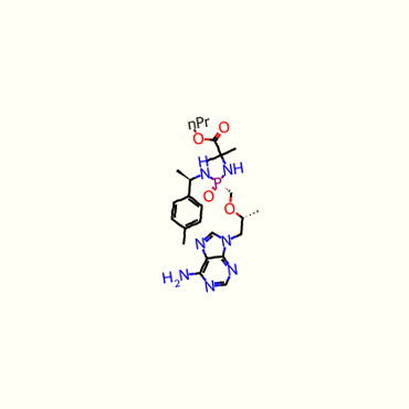 CCCOC(=O)C(C)(C)N[P@](=O)(CO[C@H](C)Cn1cnc2c(N)ncnc21)N[C@H](C)c1ccc(C)cc1